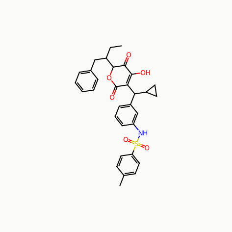 CCC(Cc1ccccc1)C1OC(=O)C(C(c2cccc(NS(=O)(=O)c3ccc(C)cc3)c2)C2CC2)=C(O)C1=O